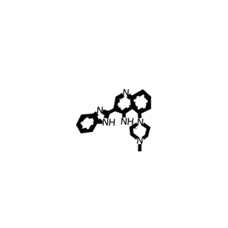 CN1CCN(c2cccc3ncc(-c4nc5ccccc5[nH]4)c(N)c23)CC1